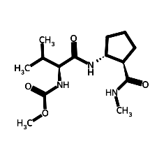 CNC(=O)[C@@H]1CCC[C@H]1NC(=O)[C@@H](NC(=O)OC)C(C)C